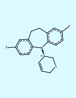 Fc1ccc2c(c1)CCc1cc(F)ccc1N2[C@@H]1C=CCSC1